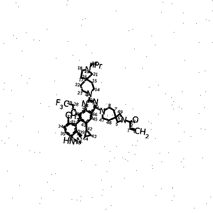 C=CC(=O)N1CC2(CCN(c3nc(N4CCC5(CCN(CCC)C5)CC4)nc4c(OCC(F)(F)F)c(-c5c(C)ccc6[nH]ncc56)c(C5CC5)cc34)CC2)C1